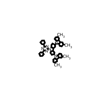 Cc1ccc2c(c1)c1cc(C)ccc1n2-c1ccc2c(c1)c1cc(-n3c4ccc(C)cc4c4cc(C)ccc43)ccc1n2-c1nc(-c2ccccc2)nc(-c2ccccc2)n1